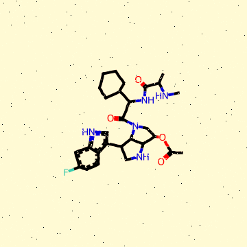 CNC(C)C(=O)NC(C(=O)N1CC(OC(C)=O)C2NCC(c3c[nH]c4cc(F)ccc34)C21)C1CCCCC1